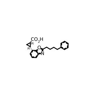 O=C(O)[C@@H]1C[C@H]1c1cccc2nc(CCCCc3ccccc3)oc12